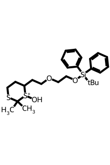 CC1(C)SCCC(CCOCCO[Si](c2ccccc2)(c2ccccc2)C(C)(C)C)[S+]1O